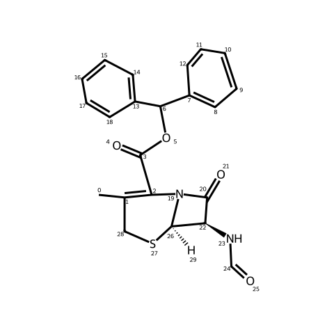 CC1=C(C(=O)OC(c2ccccc2)c2ccccc2)N2C(=O)[C@@H](NC=O)[C@H]2SC1